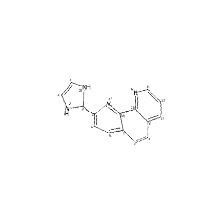 C1=CNC(c2ccc3ccc4cccnc4c3n2)N1